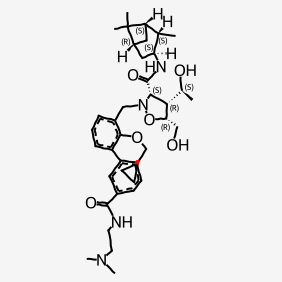 C[C@@H]1[C@@H](NC(=O)[C@@H]2[C@H]([C@H](C)O)[C@H](CO)ON2Cc2cccc(-c3cccc(C(=O)NCCN(C)C)c3)c2OCC2CC2)C[C@H]2C[C@@H]1C2(C)C